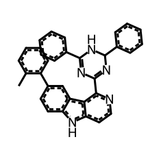 Cc1ccccc1-c1ccc2[nH]c3ccnc(C4=NC(c5ccccc5)NC(c5ccccc5)=N4)c3c2c1